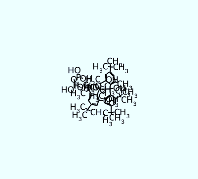 Cc1cc(C(C)(C)C)cc(C(C)(C)C)c1C(O)C(CO)(CO)C(O)(c1c(C)cc(C(C)(C)C)cc1C(C)(C)C)c1c(C)cc(C(C)(C)C)cc1C(C)(C)C.OP(O)OP(O)O